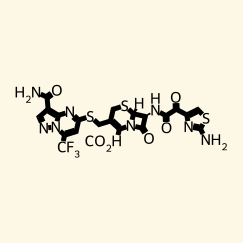 NC(=O)c1cnn2c(C(F)(F)F)cc(SCC3=C(C(=O)O)N4C(=O)[C@@H](NC(=O)C(=O)c5csc(N)n5)[C@H]4SC3)nc12